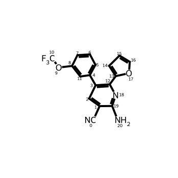 N#Cc1cc(-c2cccc(OC(F)(F)F)c2)c(-c2ccco2)nc1N